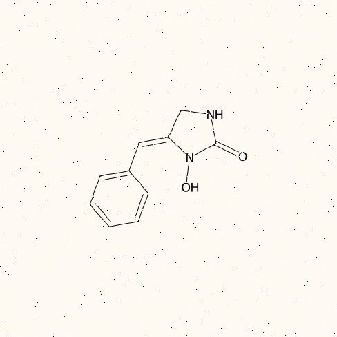 O=C1NCC(=Cc2ccccc2)N1O